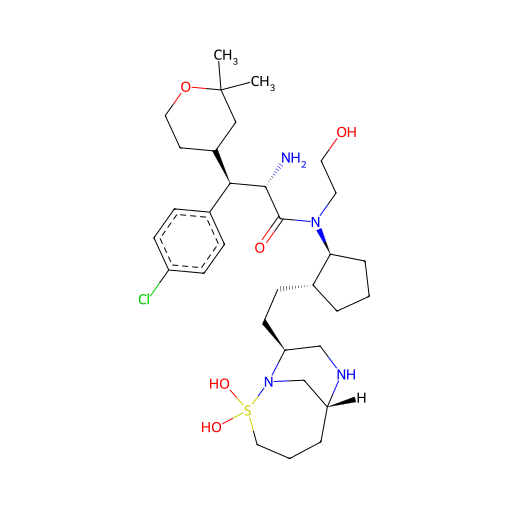 CC1(C)CC([C@H](c2ccc(Cl)cc2)[C@H](N)C(=O)N(CCO)[C@H]2CCC[C@@H]2CC[C@H]2CN[C@@H]3CCCS(O)(O)N2C3)CCO1